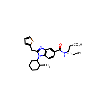 CC(C)C[C@@H](CC(=O)O)NC(=O)c1ccc2c(c1)nc(Cc1cccs1)n2C1CCCCC1C